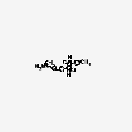 Cc1ccc(C2=C3C(=O)NC(c4ccc(COCCCN(C)C)cc4)=C3C(=O)N2)cc1